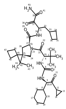 CC(C)(C)[C@H](NC(=O)N[C@@H](C(=O)C1CC1)C1CCCCC1)C(=O)N1C[C@@]2(C[C@H]1C(=O)NC(CC1CCC1)C(=O)C(N)=O)C(C)(C)C21CCC1